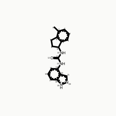 Cc1cccc2c1CCC2NC(=O)Nc1cccc2[nH]ncc12